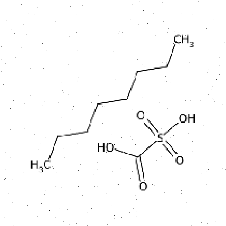 CCCCCCCC.O=C(O)S(=O)(=O)O